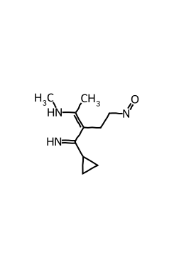 CN/C(C)=C(/CCN=O)C(=N)C1CC1